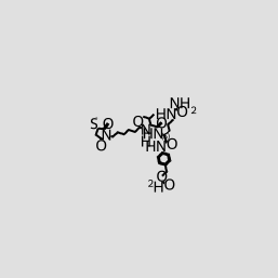 [2H]C(=O)OCc1ccc(NC(=O)[C@H](CCCNC(N)=O)NC(=O)C(NC(=O)CCCCCN2C(=O)CC(SC)C2=O)C(C)C)cc1